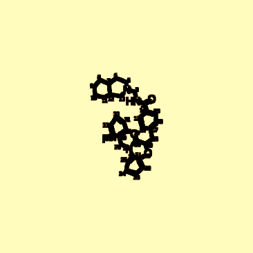 O=C(NCN1CCC2CCCCC2C1)c1ccc(CC2Oc3ccccc3N(Cc3ccccc3F)C2=O)cc1